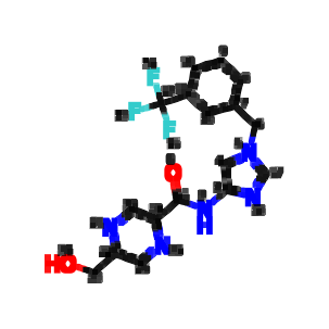 O=C(Nc1cn(Cc2cccc(C(F)(F)F)c2)cn1)c1cnc(CO)cn1